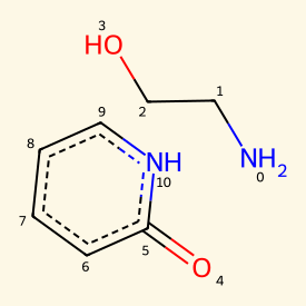 NCCO.O=c1cccc[nH]1